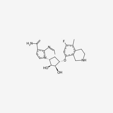 C=C(N)c1ccn([C@@H]2C[C@H](Oc3cc(F)c(C)c4c3CNCC4)[C@@H](O)[C@H]2O)c1/N=C\C